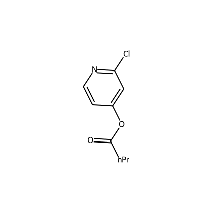 CCCC(=O)Oc1ccnc(Cl)c1